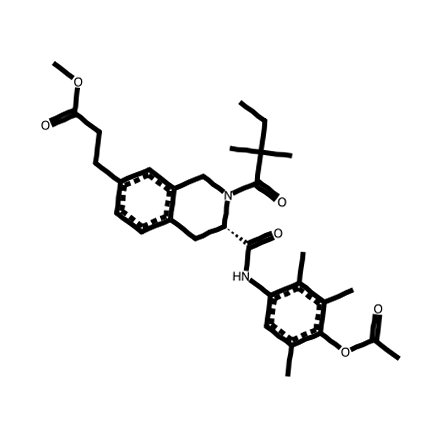 CCC(C)(C)C(=O)N1Cc2cc(CCC(=O)OC)ccc2C[C@H]1C(=O)Nc1cc(C)c(OC(C)=O)c(C)c1C